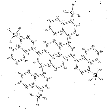 C[Si](C)(C)c1ccc(-c2cc(-c3ccc([Si](C)(C)C)c4ccccc34)c3ccc4c(-c5ccc([Si](C)(C)C)c6ccccc56)cc(-c5ccc([Si](C)(C)C)c6ccccc56)c5ccc2c3c54)c2ccccc12